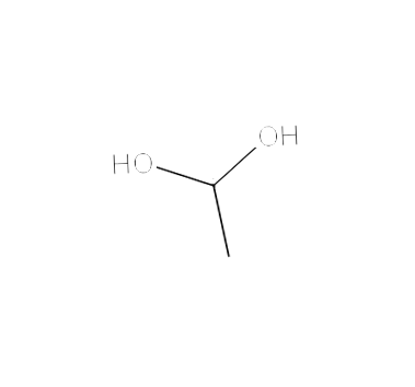 C[C](O)O